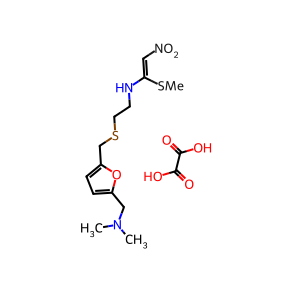 CS/C(=C\[N+](=O)[O-])NCCSCc1ccc(CN(C)C)o1.O=C(O)C(=O)O